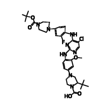 COc1cc(N2CCN(C(=O)O)C(C(C)(C)C)C2)ccc1Nc1ncc(Cl)c(Nc2ccc(N3CCN(C(=O)OC(C)(C)C)CC3)cc2F)n1